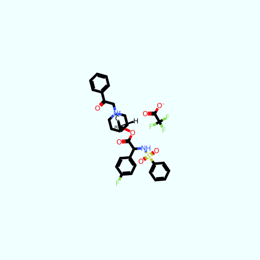 O=C(C[N+]12CCC(CC1)[C@@H](OC(=O)C(NS(=O)(=O)c1ccccc1)c1ccc(F)cc1)C2)c1ccccc1.O=C([O-])C(F)(F)F